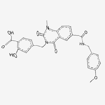 COc1ccc(CNC(=O)c2ccc3c(c2)c(=O)n(Cc2ccc(C(=O)O)c(O)c2)c(=O)n3C)cc1